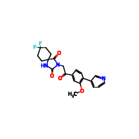 COc1cc(C(=O)CN2C(=O)NC3(CCC(F)(F)CC3)C2=O)ccc1-c1cccnc1